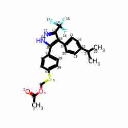 CC(=O)OCSc1ccc(-c2[nH]nc(C(F)(F)F)c2-c2ccc(C(C)C)cc2)cc1